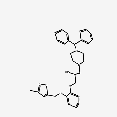 Cc1cc(COc2ccccc2OCC(O)CN2CCN(C(c3ccccc3)c3ccccc3)CC2)on1